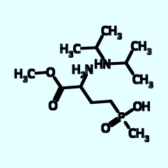 CC(C)NC(C)C.COC(=O)C(N)CCP(C)(=O)O